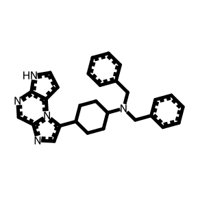 c1ccc(CN(Cc2ccccc2)C2CCC(c3cnc4cnc5[nH]ccc5n34)CC2)cc1